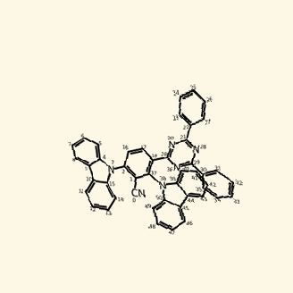 N#Cc1c(-n2c3ccccc3c3ccccc32)ccc(-c2nc(-c3ccccc3)nc(-c3ccccc3)n2)c1-n1c2ccccc2c2ccccc21